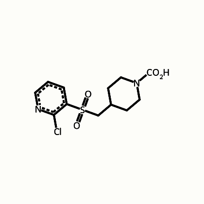 O=C(O)N1CCC(CS(=O)(=O)c2cccnc2Cl)CC1